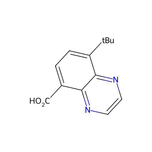 CC(C)(C)c1ccc(C(=O)O)c2nccnc12